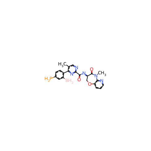 Bc1cc(P)ccc1-c1nc(C(=O)/N=C2\COc3cccnc3N(C)C2=O)ncc1C